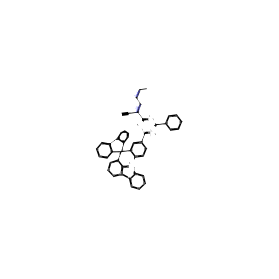 C#C/C(=C\C=C/C)c1nc(-c2ccccc2)nc(-c2ccc3c(c2)C2(c4ccccc4-c4ccccc42)c2cccc4c5ccccc5n-3c24)n1